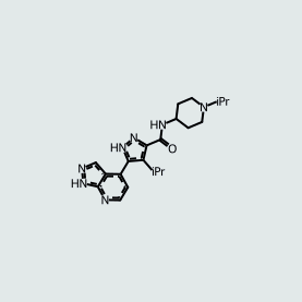 CC(C)c1c(C(=O)NC2CCN(C(C)C)CC2)n[nH]c1-c1ccnc2[nH]ncc12